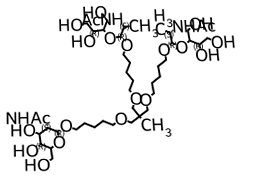 CC(=O)N[C@@H](C)[C@H](OCCCCCOCC(C)(COCCCCCO[C@H](OC(CO)[C@H](O)CO)[C@H](C)NC(C)=O)COCCCCCO[C@@H]1OC(CO)[C@H](O)C(O)[C@@H]1NC(C)=O)OC(CO)[C@H](O)CO